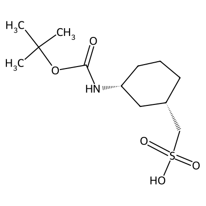 CC(C)(C)OC(=O)N[C@@H]1CCC[C@H](CS(=O)(=O)O)C1